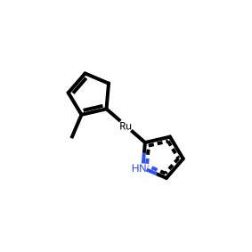 CC1=[C]([Ru][c]2ccc[nH]2)CC=C1